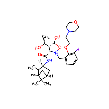 CC1[C@@H](NC(=O)[C@@H]2[C@H]([C@H](C)O)C(O)ON2Cc2cccc(I)c2OCCN2CCOCC2)C[C@H]2C[C@@H]1C2(C)C